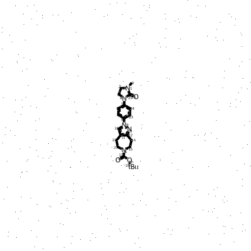 CN1CCN(c2ccc(-n3cc4c(n3)CCN(C(=O)OC(C)(C)C)CC4)cc2)C1=O